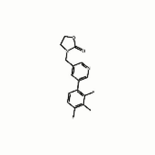 Cc1c(F)ccc(-c2cncc(CN3CCOC3=O)c2)c1F